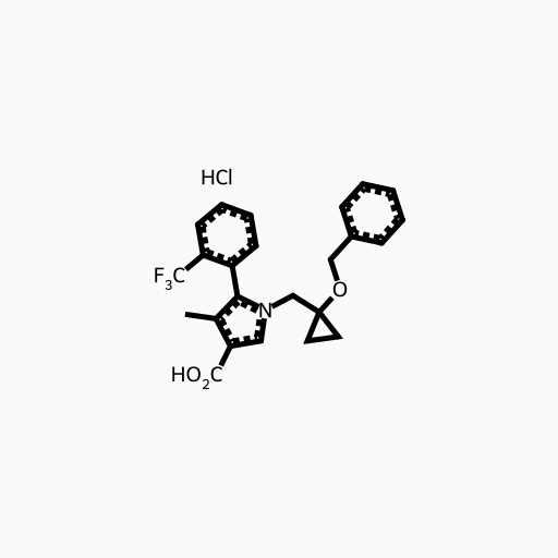 Cc1c(C(=O)O)cn(CC2(OCc3ccccc3)CC2)c1-c1ccccc1C(F)(F)F.Cl